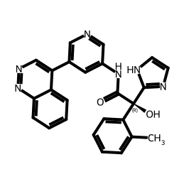 Cc1ccccc1[C@](O)(C(=O)Nc1cncc(-c2cnnc3ccccc23)c1)c1ncc[nH]1